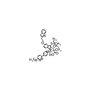 COc1ccc(-c2ccc(Cn3c(CC(C)(C)C(=O)O)c(SC(C)(C)C)c4cc(OCCc5nc6ccccc6s5)ccc43)cc2)nn1